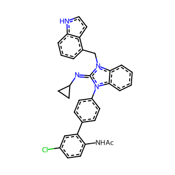 CC(=O)Nc1ccc(Cl)cc1-c1ccc(-n2c(=NC3CC3)n(Cc3cccc4[nH]ccc34)c3ccccc32)cc1